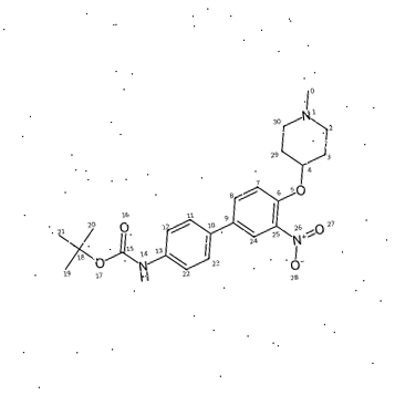 CN1CCC(Oc2ccc(-c3ccc(NC(=O)OC(C)(C)C)cc3)cc2[N+](=O)[O-])CC1